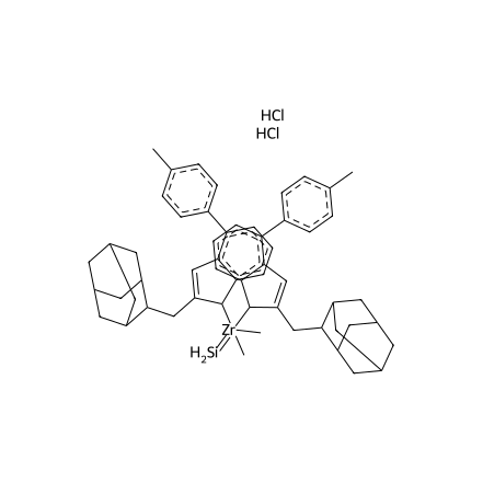 Cc1ccc(-c2cccc3c2C=C(CC2C4CC5CC(C4)CC2C5)[CH]3[Zr]([CH3])([CH3])(=[SiH2])[CH]2C(CC3C4CC5CC(C4)CC3C5)=Cc3c(-c4ccc(C)cc4)cccc32)cc1.Cl.Cl